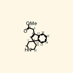 COC(=O)CC1=CC2(CCNCC2)c2ccccc21